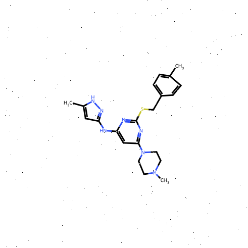 Cc1ccc(CSc2nc(Nc3cc(C)[nH]n3)cc(N3CCN(C)CC3)n2)cc1